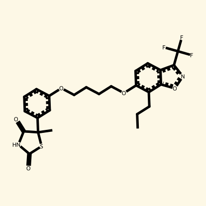 CCCc1c(OCCCCOc2cccc(C3(C)SC(=O)NC3=O)c2)ccc2c(C(F)(F)F)noc12